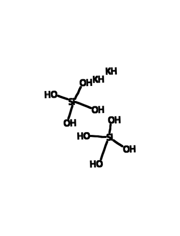 O[Si](O)(O)O.O[Si](O)(O)O.[KH].[KH]